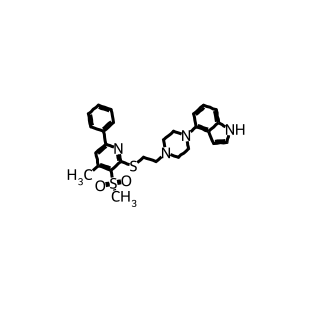 Cc1cc(-c2ccccc2)nc(SCCN2CCN(c3cccc4[nH]ccc34)CC2)c1S(C)(=O)=O